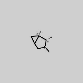 C[C@@H]1N(C)CC2C[C@]21C